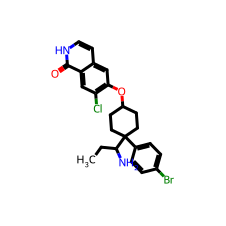 CCC(N)C1(c2ccc(Br)cc2)CCC(Oc2cc3cc[nH]c(=O)c3cc2Cl)CC1